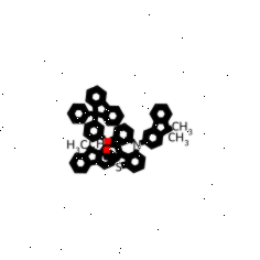 CC1(C)c2ccccc2-c2cc(N(c3cccc(N(c4cccc(C5(c6ccccc6)c6ccccc6-c6ccccc65)c4)c4cccc5c4C(C)(C)c4ccccc4-5)c3)c3cccc4sc5ccccc5c34)ccc21